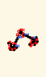 CC(=O)NC1C(OC(C)=O)[C@@H](OC(C)=O)C(COC(C)=O)O[C@H]1OCCCCCNC(=O)OCC(C)(COC(=O)NCCCCCO[C@@H]1OCC(OC(C)=O)C[C@H](OC(C)=O)C(OC(C)=O)C1NC(C)=O)C(=O)O